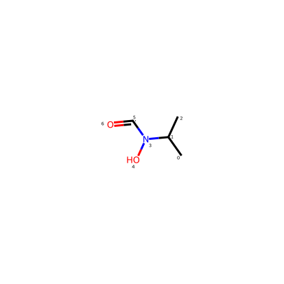 CC(C)N(O)[C]=O